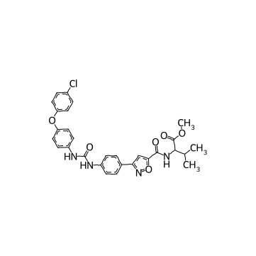 COC(=O)C(NC(=O)c1cc(-c2ccc(NC(=O)Nc3ccc(Oc4ccc(Cl)cc4)cc3)cc2)no1)C(C)C